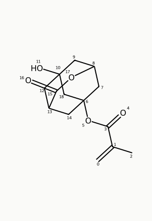 C=C(C)C(=O)OC12CC3CC(O)(CC(C1)C(=O)O3)C2